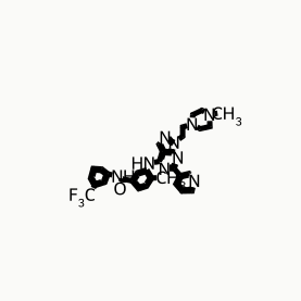 Cc1ccc(C(=O)Nc2cccc(C(F)(F)F)c2)cc1Nc1nc(-c2cccnc2)nc2c1cnn2CCN1CCN(C)CC1